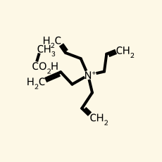 C=CC[N+](CC=C)(CC=C)CC=C.CC(=O)O